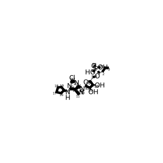 CCC[C@H](OC[C@H]1O[C@@H](n2ncc3c(NC4CCCC4)nc(Cl)nc32)[C@H](O)[C@@H]1O)P(=O)(O)O